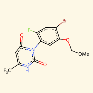 COCOc1cc(-n2c(=O)cc(C(F)(F)F)[nH]c2=O)c(F)cc1Br